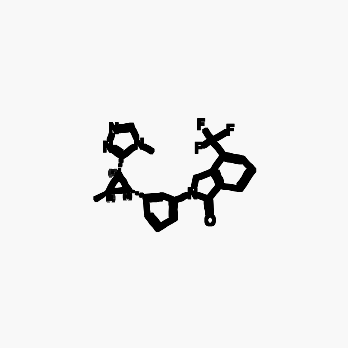 C[C@@H]1[C@@H](c2cccc(N3Cc4c(cccc4C(F)(F)F)C3=O)c2)[C@H]1c1nncn1C